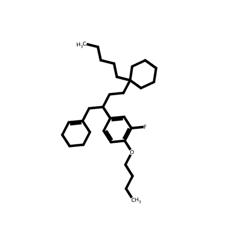 CCCCCC1(CCC(CC2=CCCCC2)c2ccc(OCCCC)c(F)c2)CCCCC1